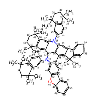 CC1(C)CCC(C)(C)c2cc(N3B4c5cc6c(cc5N(c5ccc7c(c5)C(C)(C)CCC7(C)C)c5cc7c(c(c54)-c4cc5c(cc43)oc3ccccc35)C(C)(C)c3ccccc3-7)C(C)(C)CCC6(C)C)ccc21